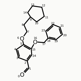 O=Cc1ccc(OCCC2CCCCC2)c(OCc2ccccc2)c1